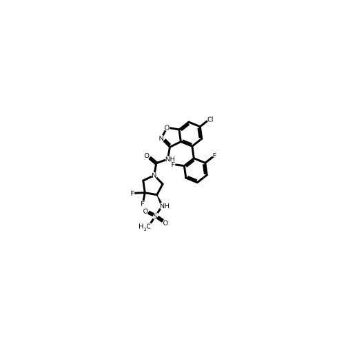 CS(=O)(=O)N[C@@H]1CN(C(=O)Nc2noc3cc(Cl)cc(-c4c(F)cccc4F)c23)CC1(F)F